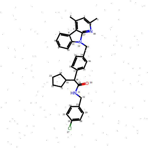 Cc1cc(C)c2c3ccccc3n(Cc3ccc(C(C(=O)NCc4ccc(Cl)cc4)C4CCCC4)cc3)c2n1